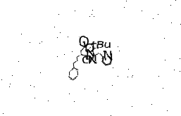 CC(C)(C)OC(=O)CC(CCCC1CCCCC1)c1nc(Cc2ccccn2)no1